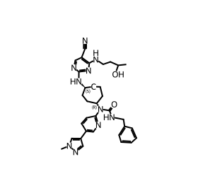 CC(O)CCNc1nc(N[C@H]2CCC[C@@H](N(C(=O)NCc3ccccc3)c3ccc(-c4cnn(C)c4)cn3)CC2)ncc1C#N